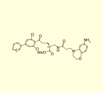 COC(=O)[C@@H](CCC(=O)c1c(Cl)cc(-c2ccccc2)cc1Cl)CNC(=O)CCN1CCOc2ccc(N)cc21